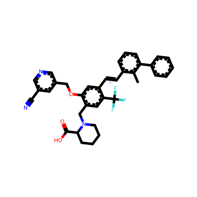 Cc1c(/C=C/c2cc(OCc3cncc(C#N)c3)c(CN3CCCCC3C(=O)O)cc2C(F)(F)F)cccc1-c1ccccc1